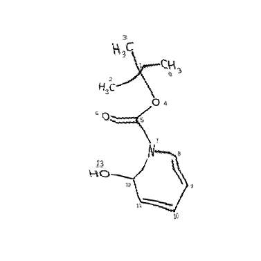 CC(C)(C)OC(=O)N1C=CC=CC1O